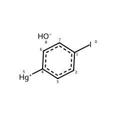 Ic1cc[c]([Hg+])cc1.[OH-]